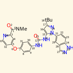 CNC(=O)c1cc(Oc2ccc(NC(=O)Nc3cc(C(C)(C)C)nn3-c3ccc4[nH]ncc4c3)cc2)ccn1